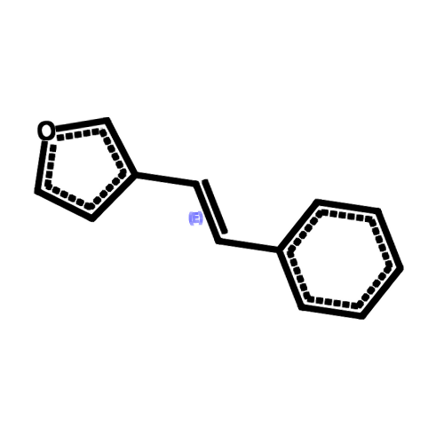 C(=C\c1ccoc1)/c1ccccc1